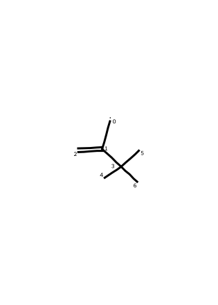 [CH2]C(=C)C(C)(C)C